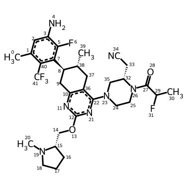 Cc1cc(N)c(F)c([C@@H]2Cc3nc(OC[C@@H]4CCCN4C)nc(N4CCN(C(=O)C(C)F)[C@@H](CC#N)C4)c3C[C@H]2C)c1C(F)(F)F